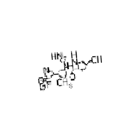 C#Cc1ccc2c(c1)[nH]c1c2c(=O)c2cc(C)c(-c3cncc(S(=O)(=O)F)c3)cc2n1C1CNC1